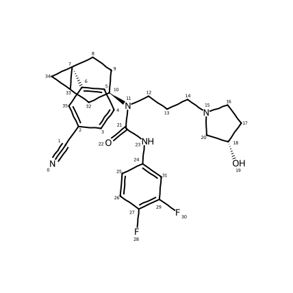 N#Cc1cccc([C@]23CC[C@@H](N(CCCN4CC[C@H](O)C4)C(=O)Nc4ccc(F)c(F)c4)CC2C3)c1